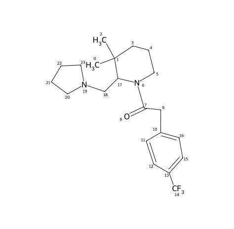 CC1(C)CCCN(C(=O)Cc2ccc(C(F)(F)F)cc2)C1CN1CCCC1